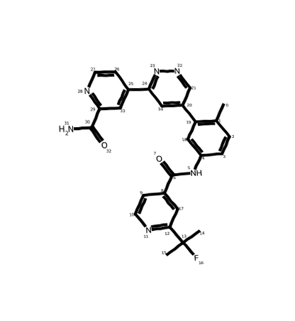 Cc1ccc(NC(=O)c2ccnc(C(C)(C)F)c2)cc1-c1cnnc(-c2ccnc(C(N)=O)c2)c1